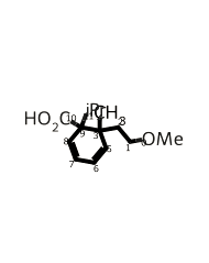 COCCC1(C)C=CC=CC1(C(=O)O)C(C)C